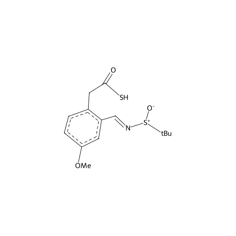 COc1ccc(CC(=O)S)c(/C=N/[S+]([O-])C(C)(C)C)c1